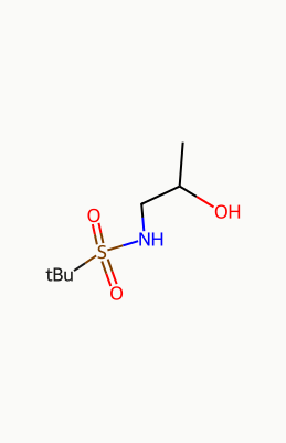 CC(O)CNS(=O)(=O)C(C)(C)C